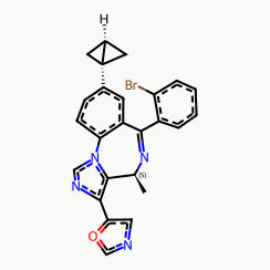 C[C@@H]1N=C(c2ccccc2Br)c2cc([C@]34C[C@H]3C4)ccc2-n2cnc(-c3cnco3)c21